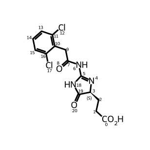 O=C(O)CC[C@@H]1N=C(NC(=O)Cc2c(Cl)cccc2Cl)NC1=O